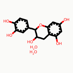 O.O.Oc1cc(O)c2c(c1)OC(c1ccc(O)c(O)c1)C(O)C2